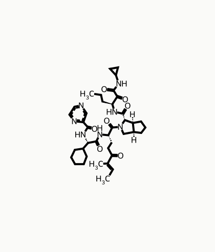 C/C=C(\C)C(=O)CC[C@H](NC(=O)[C@@H](NC(=O)c1cnccn1)C1CCCCC1)C(=O)N1C[C@@H]2CCC[C@@H]2[C@H]1C(=O)N[C@@H](CCC)C(=O)C(=O)NC1CC1